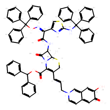 O=C(OC(c1ccccc1)c1ccccc1)C1=C(/C=C/Cn2ccc3cc(=O)c(O)cc-3c2)CS[C@@H]2C(NC(=O)/C(=N\OC(c3ccccc3)(c3ccccc3)c3ccccc3)c3csc(NC(c4ccccc4)(c4ccccc4)c4ccccc4)n3)C(=O)N12